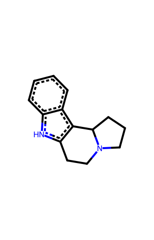 c1ccc2c3c([nH]c2c1)CCN1CCCC31